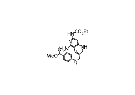 CCOC(=O)Nc1cc2c(c(N)n1)N=C(CN(C)c1ccc(C(=O)OC)cc1)CN2